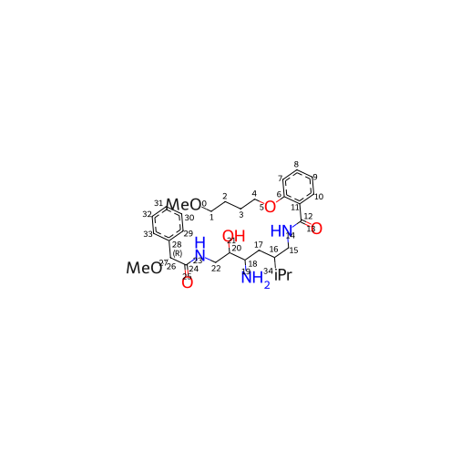 COCCCCOc1ccccc1C(=O)NCC(CC(N)C(O)CNC(=O)[C@H](OC)c1ccccc1)C(C)C